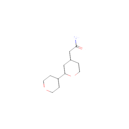 NC(=O)CC1CCOC(C2CCOCC2)C1